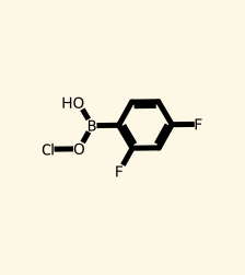 OB(OCl)c1ccc(F)cc1F